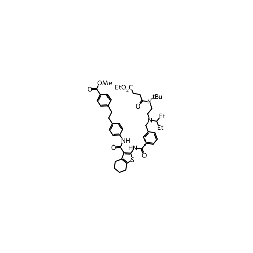 CCOC(=O)CCC(=O)N(CCN(Cc1cccc(C(=O)Nc2sc3c(c2C(=O)Nc2ccc(CCc4ccc(C(=O)OC)cc4)cc2)CCCC3)c1)C(CC)CC)C(C)(C)C